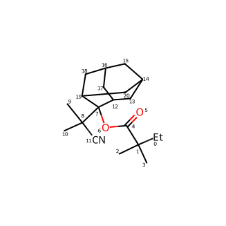 CCC(C)(C)C(=O)OC1(C(C)(C)C#N)C2CC3CC(C2)CC1C3